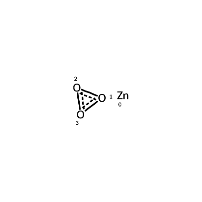 [Zn].o1oo1